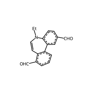 CCN1C=Cc2c(C=O)cccc2-c2cc(C=O)ccc21